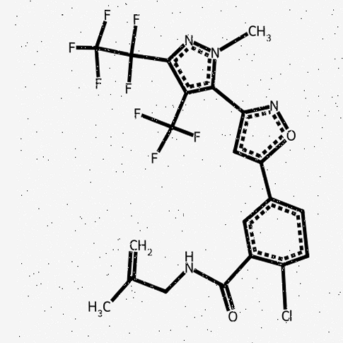 C=C(C)CNC(=O)c1cc(-c2cc(-c3c(C(F)(F)F)c(C(F)(F)C(F)(F)F)nn3C)no2)ccc1Cl